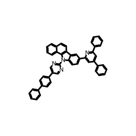 c1ccc(-c2ccc(-c3cnc(-n4c5ccc(-c6cc(-c7ccccc7)cc(-c7ccccc7)n6)cc5c5ccc6ccccc6c54)nc3)cc2)cc1